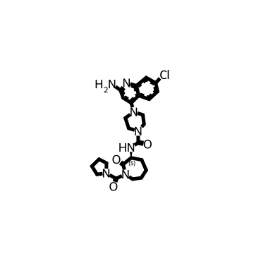 Nc1cc(N2CCN(C(=O)N[C@H]3CCCCN(C(=O)N4CCCC4)C3=O)CC2)c2ccc(Cl)cc2n1